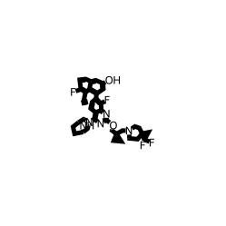 C#Cc1c(F)ccc2cc(O)cc(-c3ccc4c(N5CC6CCC(C5)N6)nc(OCC5(CN6CCC7(CC6)CC7(F)F)CC5)nc4c3F)c12